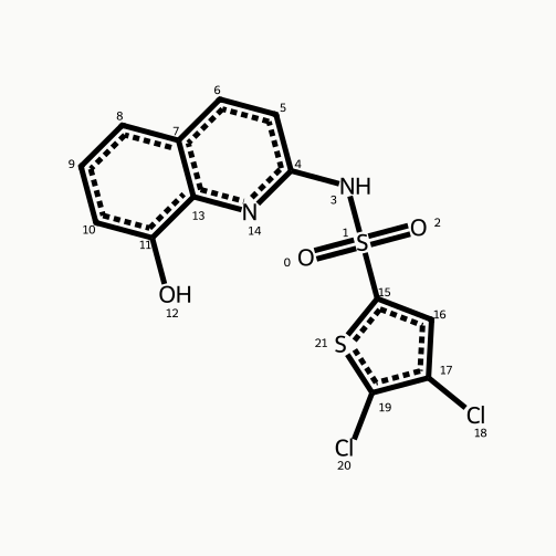 O=S(=O)(Nc1ccc2cccc(O)c2n1)c1cc(Cl)c(Cl)s1